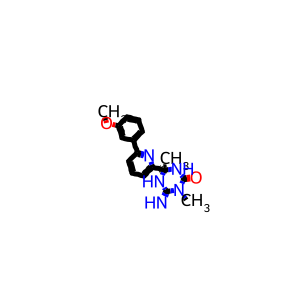 COc1cccc(-c2cccc([C@@]3(C)NC(=N)N(C)C(=O)N3)n2)c1